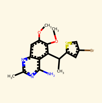 COc1cc2nc(C)nc(N)c2c(C(C)c2cc(Br)cs2)c1OC